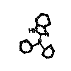 c1ccc(N(c2ccccc2)c2nc3ccccc3[nH]2)cc1